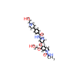 CNC(=O)n1ccc2cc(Oc3ccnc(NC(=O)c4ccc(C5CCN(CCO)CC5)cc4)c3)c(OCCO)cc21